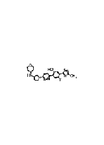 Cc1nsc(-c2cc(O)c(-c3ccc(N4CCC(NC5CCOCC5)C4)nn3)cc2F)n1